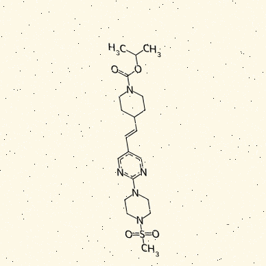 CC(C)OC(=O)N1CCC(/C=C/c2cnc(N3CCN(S(C)(=O)=O)CC3)nc2)CC1